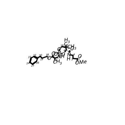 COC(=O)CCNC(=O)[C@@H]1O[P@@](=O)(NC(C)C(=O)OCCCc2ccccc2)OCC1(C)C